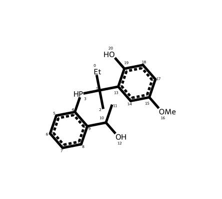 CCC(C)(Pc1ccccc1C(C)O)c1cc(OC)ccc1O